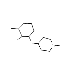 CCN1CCC(NC2CCCC(C)C2C)CC1